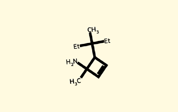 CCC(C)(CC)C1C=CC1(C)N